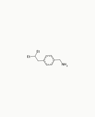 CCC(CC)Cc1ccc(CN)cc1